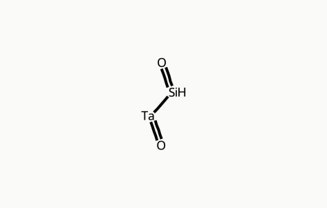 O=[SiH][Ta]=[O]